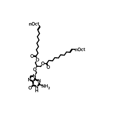 CCCCCCCCC=CCCCCCCCC(=O)OCC(COC(=O)CCCCCCCC=CCCCCCCCC)OCn1cnc2c(=O)[nH]c(N)nc21